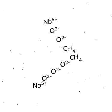 C.C.[Nb+5].[Nb+5].[O-2].[O-2].[O-2].[O-2].[O-2]